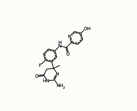 CC1(c2cc(NC(=O)c3ccc(O)cn3)ccc2F)CC(=O)NC(N)=N1